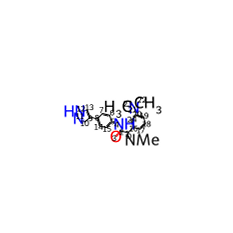 CNC(C(=O)Nc1ccc(-c2cn[nH]c2)cc1)c1cccc(N(C)C)c1